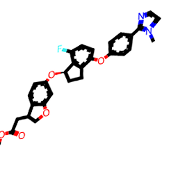 COC(=O)CC1COc2cc(O[C@@H]3CCc4c(Oc5ccc(-c6nccn6C)cc5)ccc(F)c43)ccc21